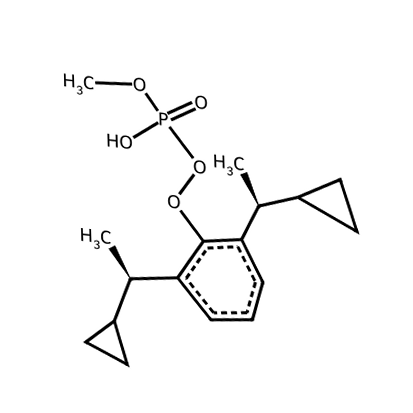 COP(=O)(O)OOc1c([C@@H](C)C2CC2)cccc1[C@H](C)C1CC1